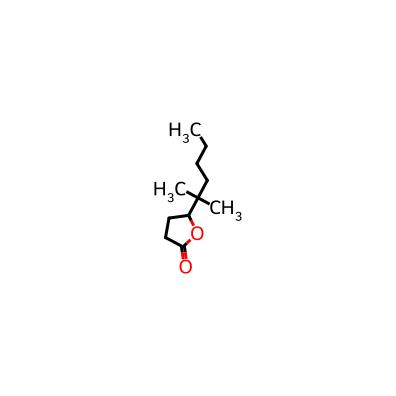 CCCCC(C)(C)C1CCC(=O)O1